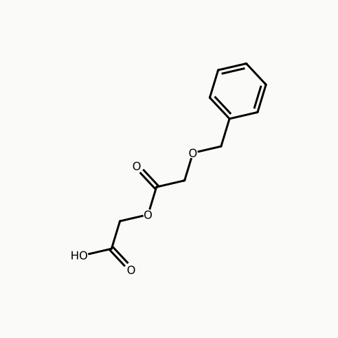 O=C(O)COC(=O)COCc1ccccc1